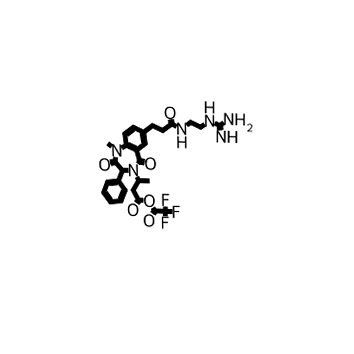 CC(CC(=O)OC(=O)C(F)(F)F)N1C(=O)c2cc(CCC(=O)NCCNC(=N)N)ccc2N(C)C(=O)C1c1ccccc1